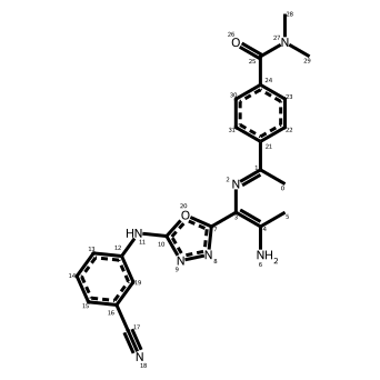 C/C(=N\C(=C(/C)N)c1nnc(Nc2cccc(C#N)c2)o1)c1ccc(C(=O)N(C)C)cc1